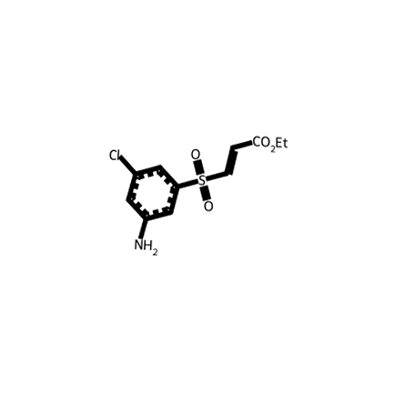 CCOC(=O)C=CS(=O)(=O)c1cc(N)cc(Cl)c1